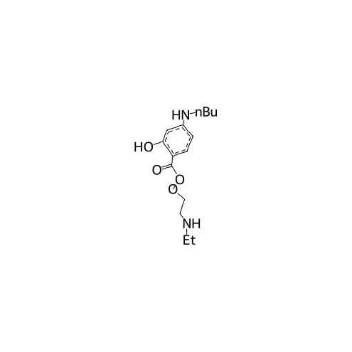 CCCCNc1ccc(C(=O)OOCCNCC)c(O)c1